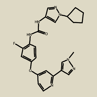 Cn1cc(-c2cc(Oc3ccc(NC(=O)Nc4cnn(C5CCCC5)c4)c(F)c3)ccn2)cn1